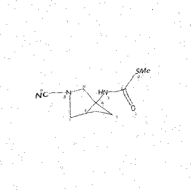 CSC(=O)NC12CC1CN(C#N)C2